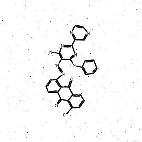 Nc1nc(-c2cnccn2)nc(Nc2ccccc2)c1/N=N/c1cccc2c1C(=O)c1cccc(Cl)c1C2=O